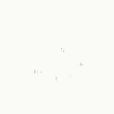 CC(F)c1cccnc1C(=O)O